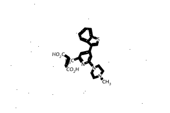 Cc1cc(-c2csc3ccccc23)cc(N2CCN(C)CC2)n1.O=C(O)/C=C/C(=O)O